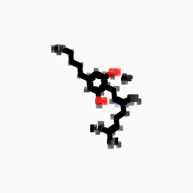 CCCCCc1cc(O)c(C/C=C(\C)CCC=C(C)C)c(O)c1.[Au]